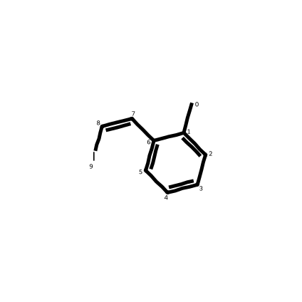 Cc1ccccc1/C=C\I